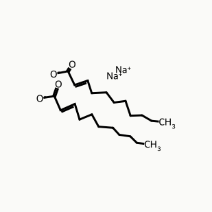 CCCCCCCCC=CC(=O)[O-].CCCCCCCCC=CC(=O)[O-].[Na+].[Na+]